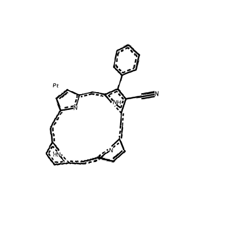 N#Cc1c(-c2ccccc2)c2cc3nc(cc4ccc(cc5nc(cc1[nH]2)C=C5)[nH]4)C=C3.[Pt]